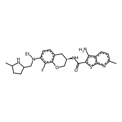 CCN(CC1CCC(C)N1)c1ccc2c(c1F)OC[C@H](NC(=O)c1sc3nc(C)ccc3c1N)C2